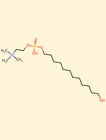 C[N+](C)(C)CCOP(=O)(O)OCCCCCCCCCCCCO